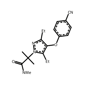 CCc1nn(C(C)(C)C(=O)NC)c(CC)c1Oc1ccc(C#N)cc1